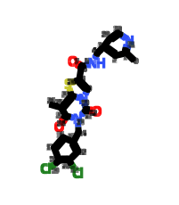 Cc1cc(CNC(=O)c2cn3c(=O)n(Cc4ccc(Cl)c(Cl)c4)c(=O)c(C)c3s2)ccn1